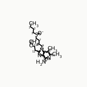 CCCC[S+]([O-])CCCCn1c(CCOC)nc2c(N)nc(C)c(C)c21